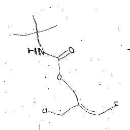 CC(C)(C)NC(=O)OC/C(=C\F)CCl